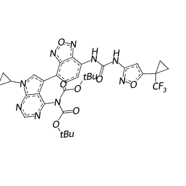 CC(C)(C)OC(=O)N(C(=O)OC(C)(C)C)c1ncnc2c1c(-c1ccc(NC(=O)Nc3cc(C4(C(F)(F)F)CC4)on3)c3nonc13)cn2C1CC1